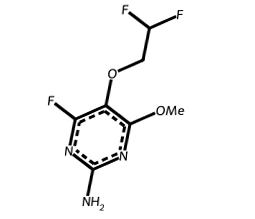 COc1nc(N)nc(F)c1OCC(F)F